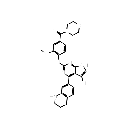 COc1cc(C(=O)N2CCOCC2)ccc1Nc1nc(-c2ccc3c(c2)NCCC3)c2c(Cl)c[nH]c2n1